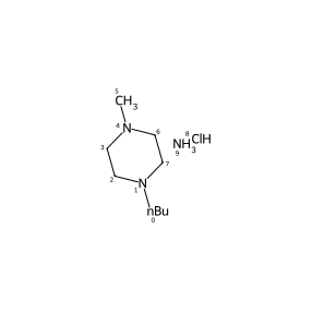 CCCCN1CCN(C)CC1.Cl.N